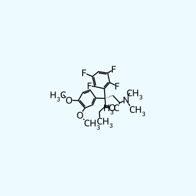 CCC(=O)[C@@](C[C@H](C)N(C)C)(c1ccc(OC)c(OC)c1)c1c(F)c(F)cc(F)c1F